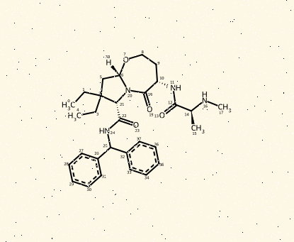 CCC1(CC)C[C@@H]2OCC[C@H](NC(=O)[C@H](C)NC)C(=O)N2[C@@H]1C(=O)NC(c1ccccc1)c1ccccc1